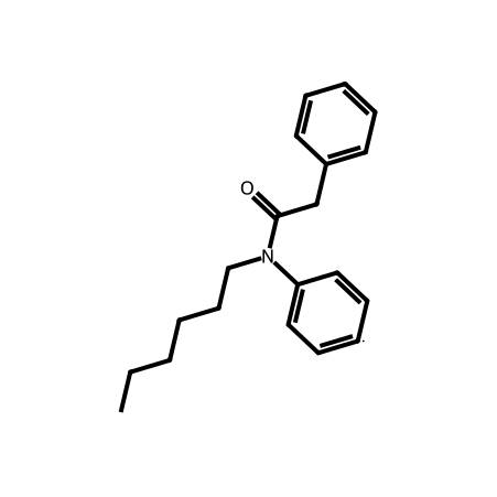 CCCCCCN(C(=O)Cc1ccccc1)c1cc[c]cc1